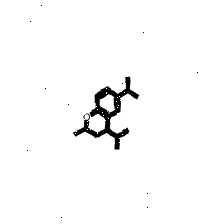 CC1CC(C(C)C)c2cc(C(C)C)ccc2O1